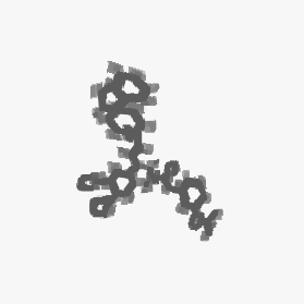 CC(C)Oc1cccc(CC(=O)N(C)C[C@@H](CCN2CCC3(C=Cc4ccccc43)CC2)c2ccc(Cl)c(Cl)c2)c1